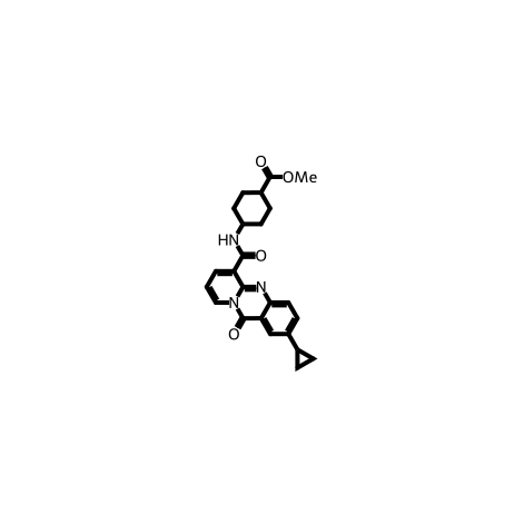 COC(=O)C1CCC(NC(=O)c2cccn3c(=O)c4cc(C5CC5)ccc4nc23)CC1